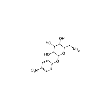 NCC1OC(Oc2ccc([N+](=O)[O-])cc2)C(O)C(O)C1O